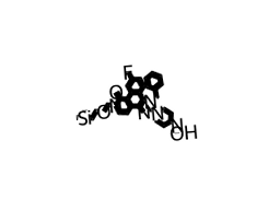 C[Si](C)(C)CCOCn1ccc2c3nc(N4CCC(=NO)CC4)n(Cc4ccccc4)c3c3ccc(F)cc3c2c1=O